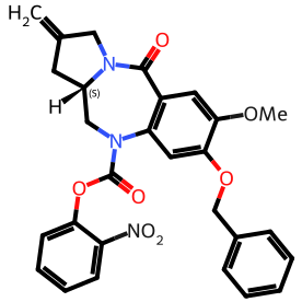 C=C1C[C@H]2CN(C(=O)Oc3ccccc3[N+](=O)[O-])c3cc(OCc4ccccc4)c(OC)cc3C(=O)N2C1